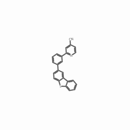 N#Cc1ccnc(-c2cccc(-c3ccc4sc5ccccc5c4c3)c2)c1